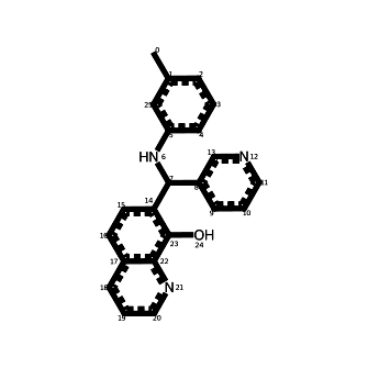 Cc1cccc(NC(c2cccnc2)c2ccc3cccnc3c2O)c1